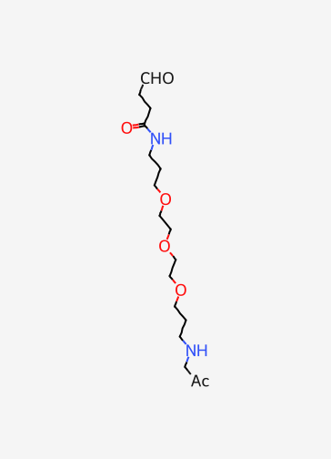 CC(=O)CNCCCOCCOCCOCCCNC(=O)CCC=O